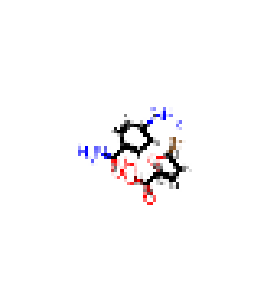 NC(=O)c1ccc(N)cc1.O=C(O)c1ccc(Br)o1